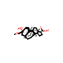 COC[C@@]1(O)CC[C@H]2[C@@H](CC[C@@H]3[C@@H]2CC[C@]2(C)[C@@H](C(=O)O)CC[C@@H]32)C1